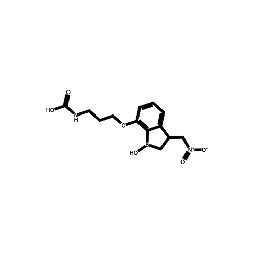 O=C(O)NCCCOc1cccc2c1B(O)CC2C[N+](=O)[O-]